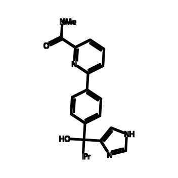 CNC(=O)c1cccc(-c2ccc(C(O)(c3c[nH]cn3)C(C)C)cc2)n1